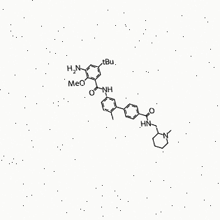 COc1c(N)cc(C(C)(C)C)cc1C(=O)Nc1ccc(C)c(-c2ccc(C(=O)NCC3CCCCN3C)cc2)c1